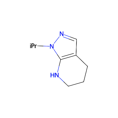 CC(C)n1ncc2c1NCCC2